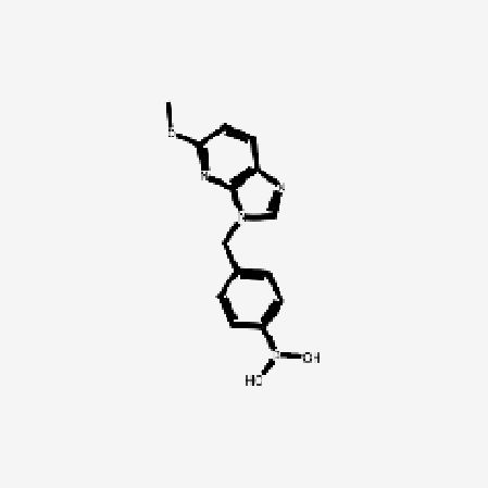 COc1ccc2ncn(Cc3ccc(B(O)O)cc3)c2n1